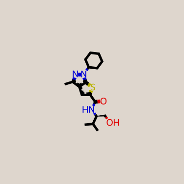 Cc1nn(C2CCCCC2)c2sc(C(=O)N[C@@H](CO)C(C)C)cc12